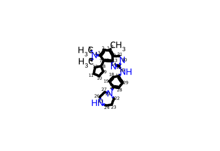 Cc1cc(N(C)C)c(C2CCCC2)c2nc(Nc3ccc(N4CCCNCC4)cc3)ncc12